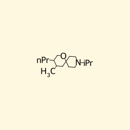 CCCC1COC2(CCN(C(C)C)CC2)CC1C